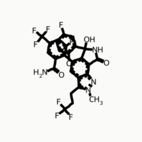 Cn1nc2c3c(c(-c4c(F)cc(C(F)(F)F)cc4C(N)=O)cc2c1CCC(F)(F)F)C(O)(c1cc(F)ccc1Cl)NC3=O